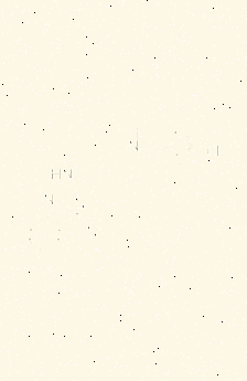 CN(C)c1nc(N[C@H]2CC[C@@H](NCc3ccc(Cl)s3)CC2)nc2ccccc12